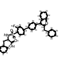 O=C(O)C(Cc1ccccc1)NS(=O)(=O)c1ccc(-c2ccc(-c3c(Cc4ccccc4)oc4ccccc34)cc2)cc1F